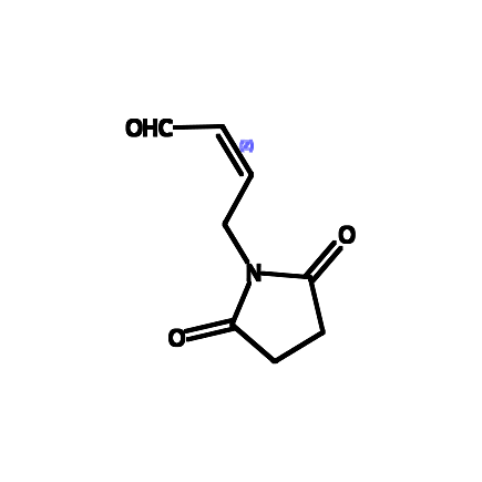 O=C/C=C\CN1C(=O)CCC1=O